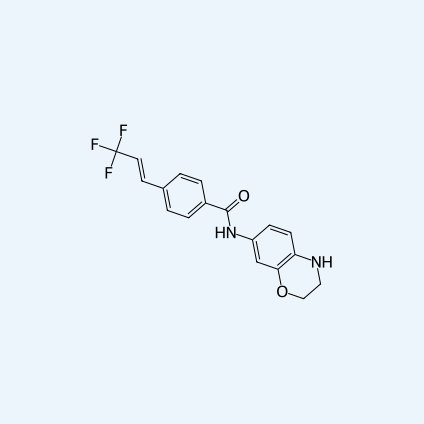 O=C(Nc1ccc2c(c1)OCCN2)c1ccc(/C=C/C(F)(F)F)cc1